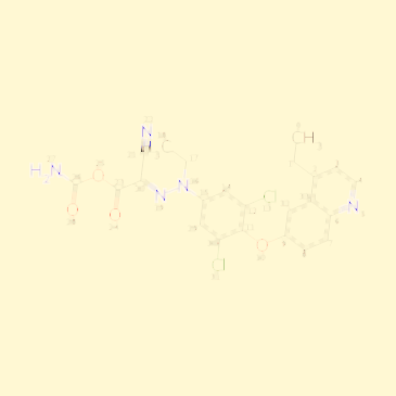 CCc1ccnc2ccc(Oc3c(Cl)cc(N(CC)N=C(C#N)C(=O)OC(N)=O)cc3Cl)cc12